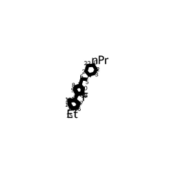 CCC[C@H]1CC[C@H](CCc2ccc(-c3ccc(CC)cc3)c(F)c2)CC1